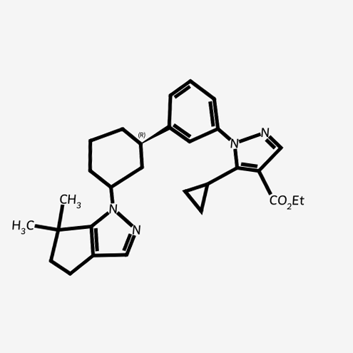 CCOC(=O)c1cnn(-c2cccc([C@@H]3CCCC(n4ncc5c4C(C)(C)CC5)C3)c2)c1C1CC1